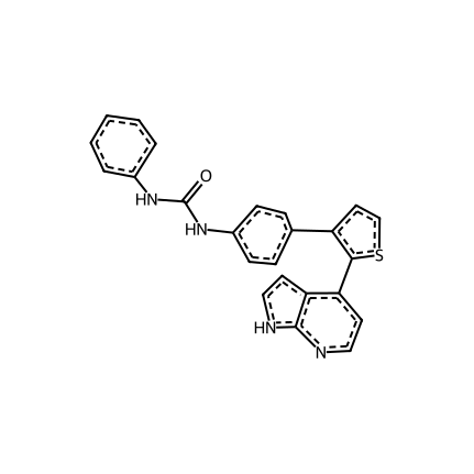 O=C(Nc1ccccc1)Nc1ccc(-c2ccsc2-c2ccnc3[nH]ccc23)cc1